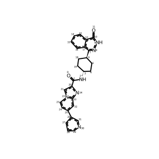 O=C(N[C@H]1CC[C@H](c2n[nH]c(=O)c3ccccc32)CC1)c1cn2ccc(-c3cccnc3)cc2n1